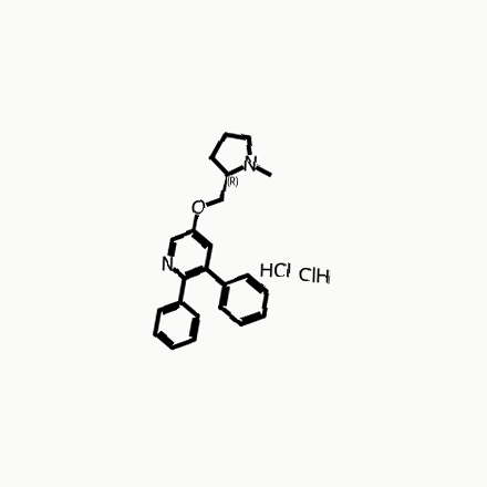 CN1CCC[C@@H]1COc1cnc(-c2ccccc2)c(-c2ccccc2)c1.Cl.Cl